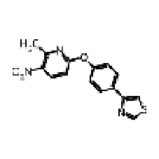 Cc1nc(Oc2ccc(-c3cscn3)cc2)ccc1[N+](=O)[O-]